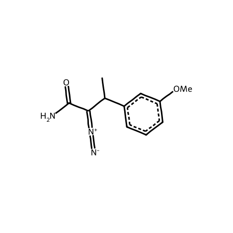 COc1cccc(C(C)C(=[N+]=[N-])C(N)=O)c1